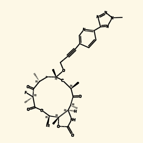 CC[C@H]1OC(=O)[C@@](C)(F)C(=O)[C@H](C)[C][C@](C)(OCC#Cc2ccc(-c3nnn(C)n3)nc2)C[C@@H](C)C(=O)[C@H](C)[C@H]2NC(=O)O[C@@]21C